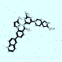 Cc1ccn(-c2cc(-c3ccc4ncccc4c3)ccc2[C@@H](Oc2cc(N3CCC4(CC3)CNC(C(=O)O)C4)nc(N)n2)C(F)(F)F)n1